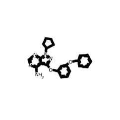 Nc1ncnc2c1c(Oc1cccc(Oc3ccccc3)c1)nn2C1CCCC1